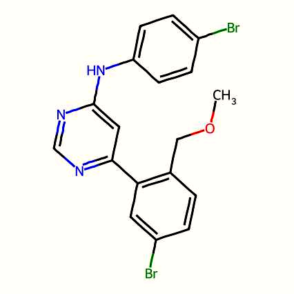 COCc1ccc(Br)cc1-c1cc(Nc2ccc(Br)cc2)ncn1